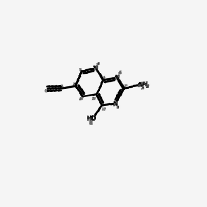 C#Cc1cnc2nc(N)nc(O)c2c1